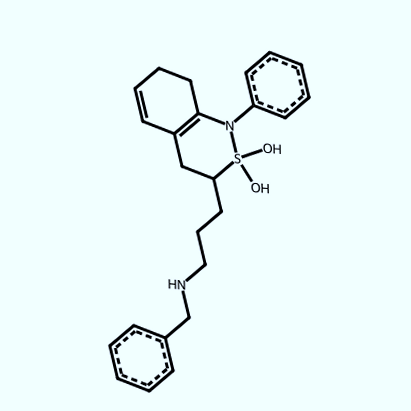 OS1(O)C(CCCNCc2ccccc2)CC2=C(CCC=C2)N1c1ccccc1